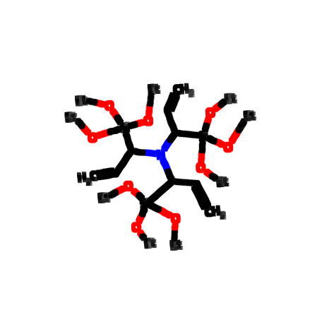 C=CC(N(C(C=C)[Si](OCC)(OCC)OCC)C(C=C)[Si](OCC)(OCC)OCC)[Si](OCC)(OCC)OCC